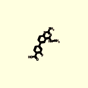 NNc1nc(N)nc2ccc(-c3ccc(C(=O)O)c(F)c3)cc12